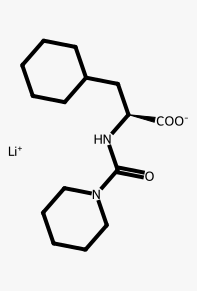 O=C([O-])[C@H](CC1CCCCC1)NC(=O)N1CCCCC1.[Li+]